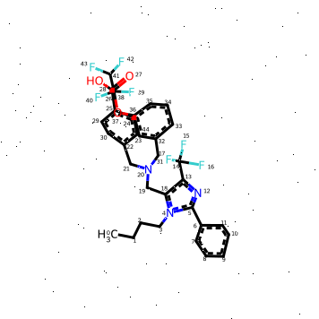 CCCCn1c(-c2ccccc2)nc(C(F)(F)F)c1CN(Cc1ccc(C(=O)O)cc1)Cc1cccc(OC(F)(F)C(F)F)c1